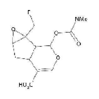 CNC(=O)OC1OC=C(C(=O)O)C2CC3OC3(CF)C12